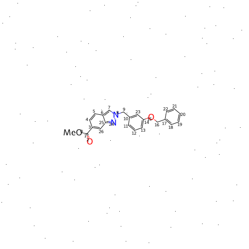 COC(=O)c1ccc2cn(Cc3cccc(OCc4ccccc4)c3)nc2c1